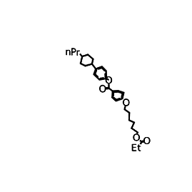 CCCC1CCC(c2ccc(OC(=O)c3ccc(OCCCCCCOC(=O)CC)cc3)cc2)CC1